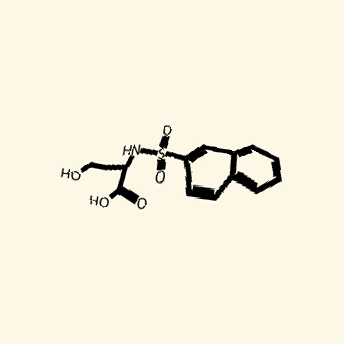 O=C(O)C(CO)NS(=O)(=O)c1ccc2ccccc2c1